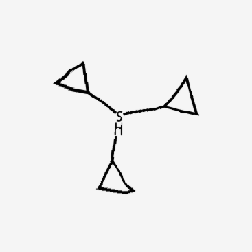 C1CC1[SH](C1CC1)C1CC1